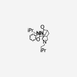 CC(C)CCN1CC2CC3C(=O)NC2(C(=O)NCC(C)C)C1C3Cc1ccccc1